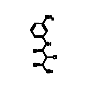 CC(C)(C)C(=O)C(Cl)C(=O)Nc1cccc(N)c1